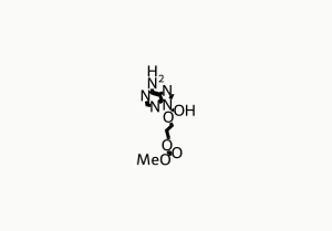 COC(=O)OCCCOC(O)n1cnc2c(N)ncnc21